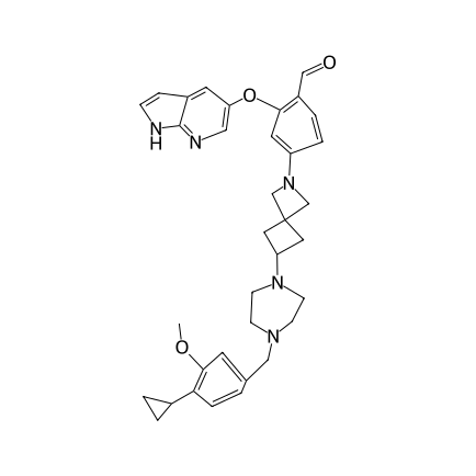 COc1cc(CN2CCN(C3CC4(C3)CN(c3ccc(C=O)c(Oc5cnc6[nH]ccc6c5)c3)C4)CC2)ccc1C1CC1